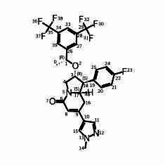 C[C@@H](O[C@H]1CN2C(=O)C=C(c3cnn(C)c3)C[C@H]2[C@@H]1c1ccc(F)cc1)c1cc(C(F)(F)F)cc(C(F)(F)F)c1